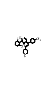 [O-][n+]1ccc2c(-c3ccc(C(F)(F)F)cc3)cc(C3CCNCC3)nc2c1-c1c(Cl)cccc1Cl